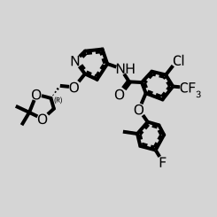 Cc1cc(F)ccc1Oc1cc(C(F)(F)F)c(Cl)cc1C(=O)Nc1ccnc(OC[C@@H]2COC(C)(C)O2)c1